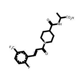 CC(NC(=O)C1CCN(C(=O)/C=C/c2cc(C(F)(F)F)ccc2F)CC1)C(=O)O